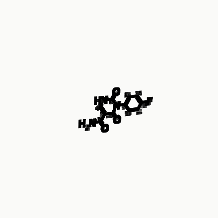 NC(=O)c1c[nH]c(=O)n(-c2ccc(F)cc2)c1=O